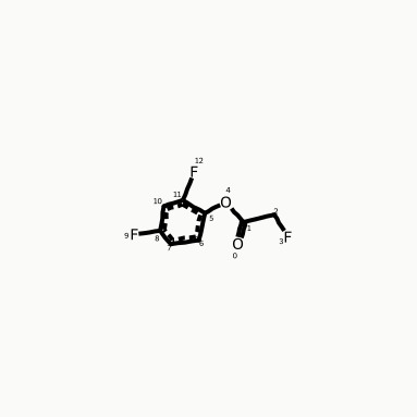 O=C(CF)Oc1ccc(F)cc1F